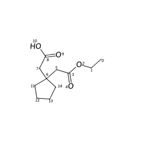 CCOC(=O)CC1(CC(=O)O)CCCC1